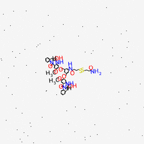 COc1cc2c(cc1OCc1cc(COc3cc4c(cc3OC)C(=O)N3c5ccccc5C[C@H]3C(O)N4)cc(NC(=O)CCCSSCCCC(N)=O)c1)NC(O)[C@@H]1Cc3ccccc3N1C2=O